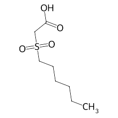 CCCCCCS(=O)(=O)CC(=O)O